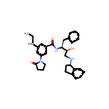 CC[AsH]c1cc(C(=O)N[C@@H](Cc2ccccc2)[C@@H](O)CN[C@@H]2CCc3ccccc32)cc(N2CCCC2=O)c1